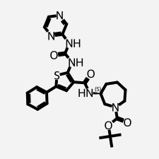 CC(C)(C)OC(=O)N1CCCC[C@H](NC(=O)c2cc(-c3ccccc3)sc2NC(=O)Nc2cnccn2)C1